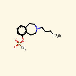 CCOC(=O)CCCN1CCc2cccc(OS(=O)(=O)C(F)(F)F)c2CC1